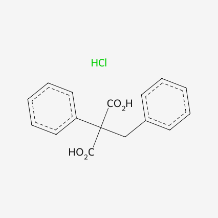 Cl.O=C(O)C(Cc1ccccc1)(C(=O)O)c1ccccc1